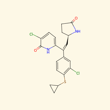 O=C1CC[C@H](C=C(c2ccc(SC3CC3)c(Cl)c2)c2ccc(Cl)c(=O)[nH]2)N1